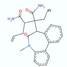 C=CCC(C(N)=O)C(CC(C)C)(C(N)=O)C1C(=O)N(C)c2ccccc2-c2ccccc21